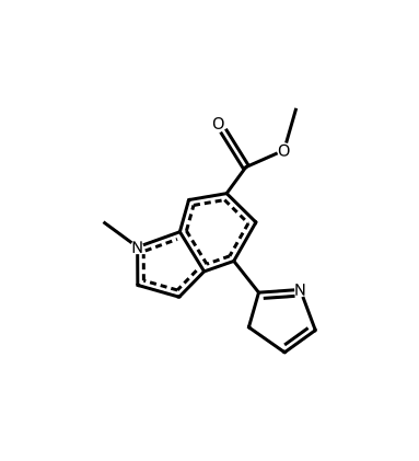 COC(=O)c1cc(C2=NC=CC2)c2ccn(C)c2c1